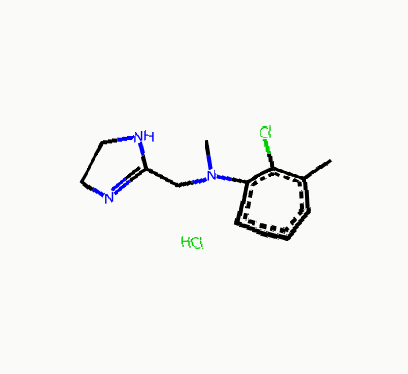 Cc1cccc(N(C)CC2=NCCN2)c1Cl.Cl